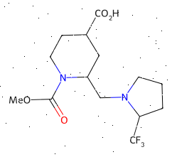 COC(=O)N1CCC(C(=O)O)CC1CN1CCCC1C(F)(F)F